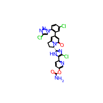 NC(=O)Oc1ccc(-c2[nH]c([C@@H]3CCc4cc(-c5cc(Cl)ccc5-n5cc(Cl)nn5)cc(=O)n43)nc2Cl)nc1